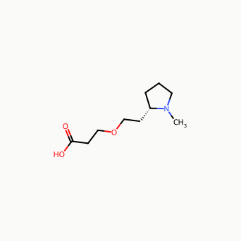 CN1CCC[C@H]1CCOCCC(=O)O